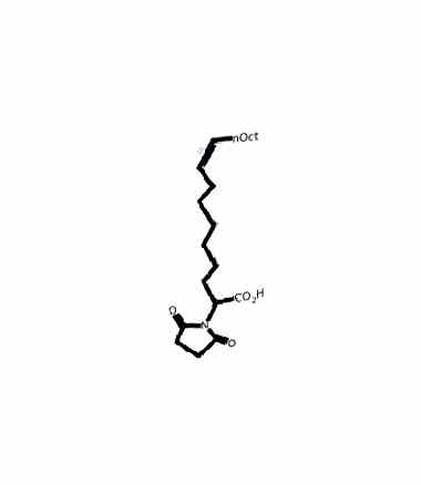 CCCCCCCC/C=C\CCCCCCC(C(=O)O)N1C(=O)CCC1=O